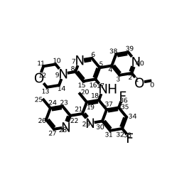 COc1cc(-c2cnc(N3CCOCC3)cc2Nc2c(C)c(-c3cc(C)ccn3)nc3cc(F)cc(F)c23)ccn1